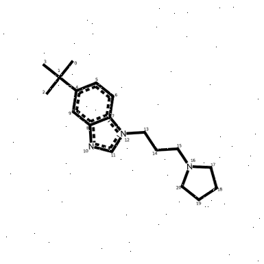 CC(C)(C)c1ccc2c(c1)ncn2CCCN1CCCC1